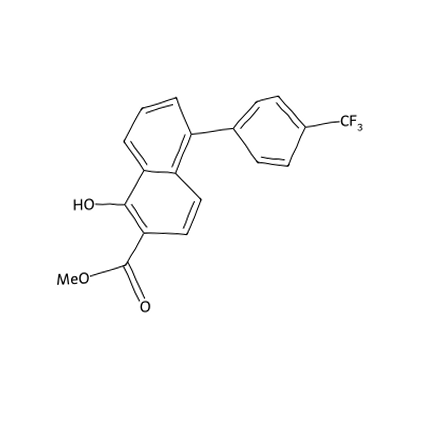 COC(=O)c1ccc2c(-c3ccc(C(F)(F)F)cc3)cccc2c1O